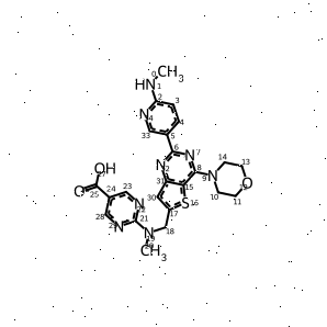 CNc1ccc(-c2nc(N3CCOCC3)c3sc(CN(C)c4ncc(C(=O)O)cn4)cc3n2)cn1